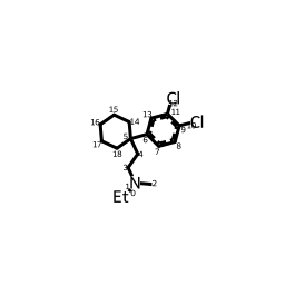 CCN(C)CCC1(c2ccc(Cl)c(Cl)c2)CCCCC1